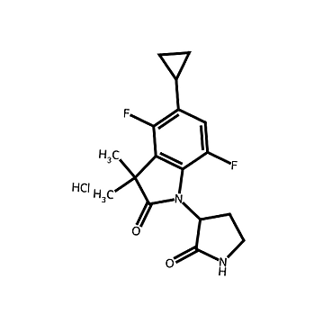 CC1(C)C(=O)N(C2CCNC2=O)c2c(F)cc(C3CC3)c(F)c21.Cl